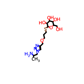 CC(N)Cn1cc(COCCCSC2OC(CO)C(O)C(O)C2O)nn1